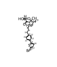 C[C@@](O)(C(F)F)[C@H](NCCCc1ccc(-c2ccc(Br)s2)cc1)C(=O)NO